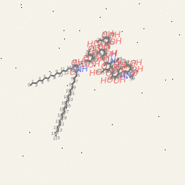 CCCCCCCCCCCCC/C=C/[C@@H](O)[C@H](CO[C@@H]1OC(CO)[C@@H](O[C@@H]2OC(CO[C@@H]3OC(CO)[C@@H](O[C@@H]4OC(CO)[C@H](O[C@@H]5OC(CO)[C@H](O)[C@H](O)C5NC(C)=O)[C@H](O)C4O)[C@H](O)C3NC(C)=O)[C@H](O)[C@H](O[C@H]3OC(CO)[C@H](O)[C@H](O)C3O)C2O)[C@H](O)C1O)NC(=O)CCCCCCCCCCCCCCCCCCCCC